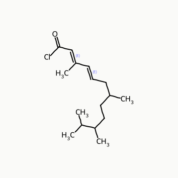 CC(/C=C/CC(C)CCC(C)C(C)C)=C\C(=O)Cl